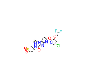 CC(C)n1c(C(=O)NC2(C)CCS(=O)(=O)CC2)nc2nc(Oc3ncc(Cl)cc3OCC(F)F)ccc21